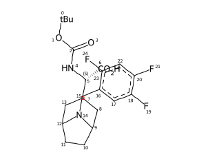 CC(C)(C)OC(=O)N[C@H](C(=O)O)C1CC2CCC(C1)N2Cc1cc(F)c(F)cc1F